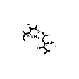 CCC(C)[C@@H](N)C(=O)C(C)SCC(C)C[C@@H](N)C(=O)C(C)C